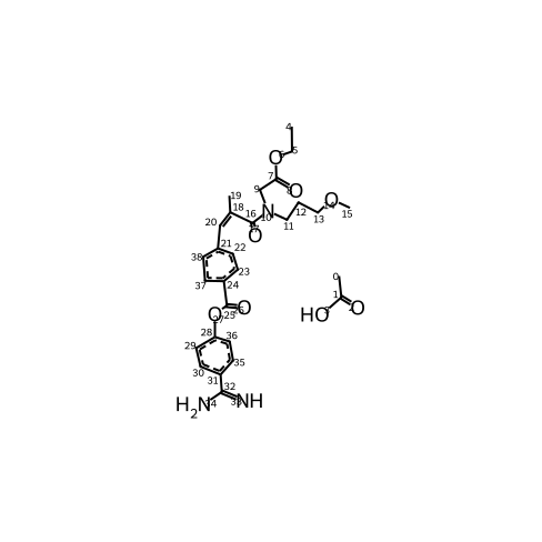 CC(=O)O.CCOC(=O)CN(CCCOC)C(=O)C(C)=Cc1ccc(C(=O)Oc2ccc(C(=N)N)cc2)cc1